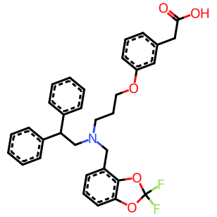 O=C(O)Cc1cccc(OCCCN(Cc2cccc3c2OC(F)(F)O3)CC(c2ccccc2)c2ccccc2)c1